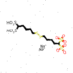 O=S(=O)([O-])C(CCCCSSCCCCC(S(=O)(=O)O)S(=O)(=O)O)S(=O)(=O)[O-].[Na+].[Na+]